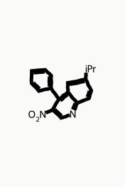 CC(C)c1ccc2ncc([N+](=O)[O-])c(-c3ccccc3)c2c1